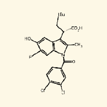 Cc1c([C@H](CC(C)(C)C)C(=O)O)c2cc(O)c(F)cc2n1C(=O)c1ccc(Cl)c(Cl)c1